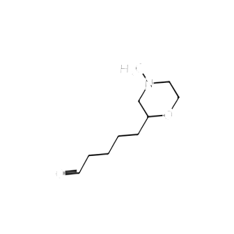 CN1CCOC(CCCCC=O)C1